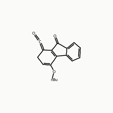 CCCCOC1=CCC(=C=O)C2=C1c1ccccc1C2=O